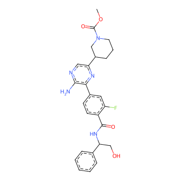 COC(=O)N1CCCC(c2cnc(N)c(-c3ccc(C(=O)NC(CO)c4ccccc4)c(F)c3)n2)C1